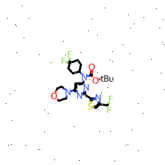 CC(C)(C)OC(=O)N(c1cc(N2CCOCC2)nc(-c2nc(C(F)F)cs2)n1)C1CCC(F)(F)CC1